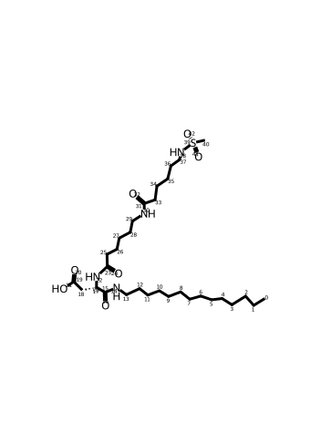 CCCCCCCCCCCCCCNC(=O)[C@H](CC(=O)O)NC(=O)CCCCCNC(=O)CCCCCNS(C)(=O)=O